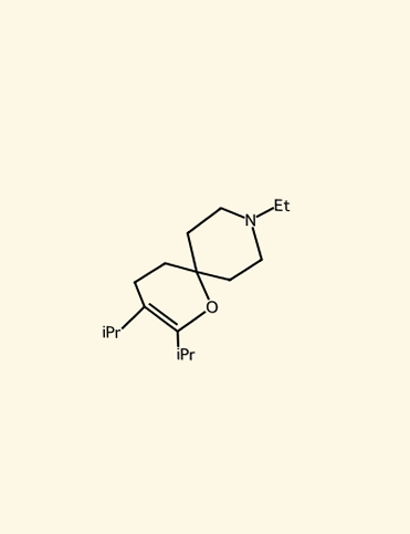 CCN1CCC2(CCC(C(C)C)=C(C(C)C)O2)CC1